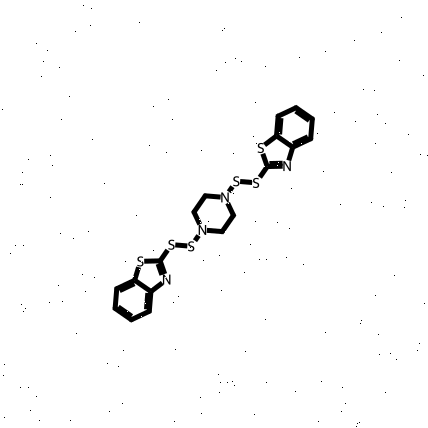 c1ccc2sc(SSN3CCN(SSc4nc5ccccc5s4)CC3)nc2c1